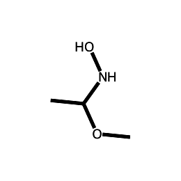 COC(C)NO